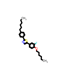 CCCCCCOc1ccc(-c2cnc(-c3ccc(CCCCCC)cc3)s2)cc1F